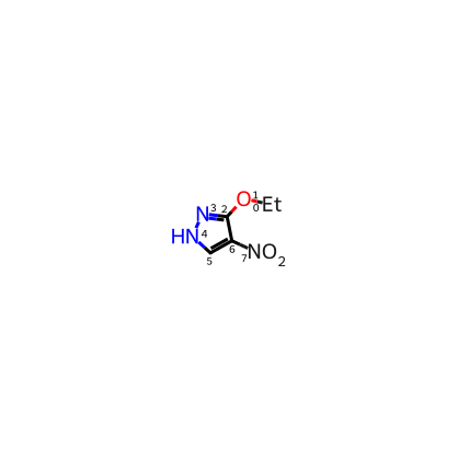 CCOc1n[nH]cc1[N+](=O)[O-]